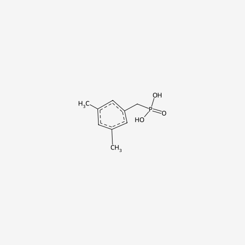 Cc1cc(C)cc(CP(=O)(O)O)c1